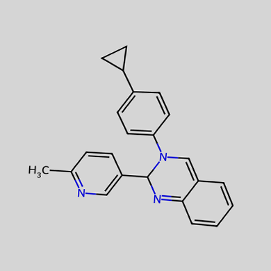 Cc1ccc(C2N=c3ccccc3=CN2c2ccc(C3CC3)cc2)cn1